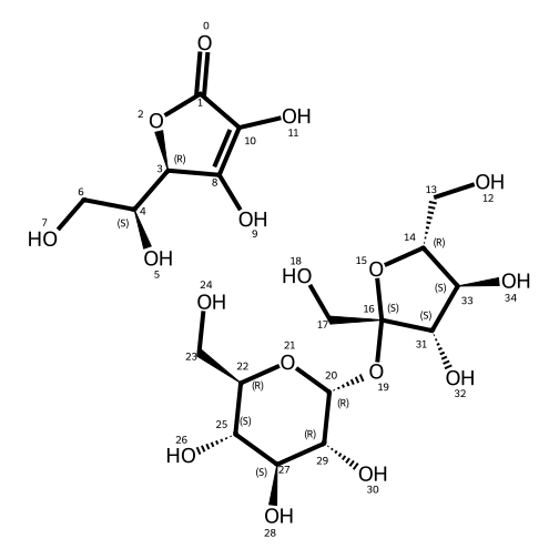 O=C1O[C@H]([C@@H](O)CO)C(O)=C1O.OC[C@H]1O[C@@](CO)(O[C@H]2O[C@H](CO)[C@@H](O)[C@H](O)[C@H]2O)[C@@H](O)[C@@H]1O